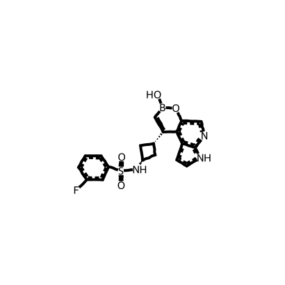 O=S(=O)(N[C@H]1C[C@@H](C2=CB(O)Oc3cnc4[nH]ccc4c32)C1)c1cccc(F)c1